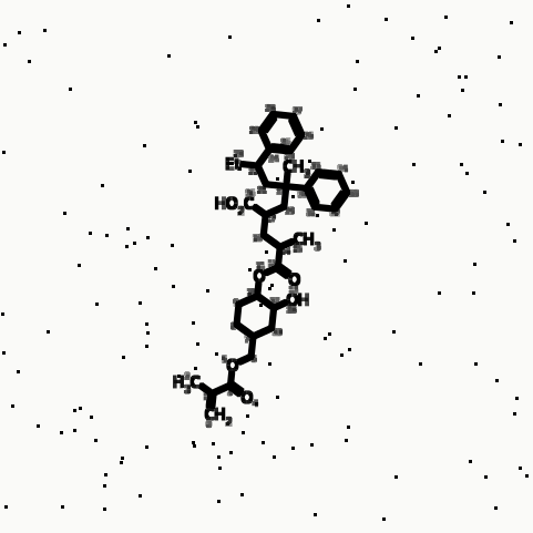 C=C(C)C(=O)OCC1CCC(OC(=O)C(C)CC(CC(C)(CC(CC)c2ccccc2)c2ccccc2)C(=O)O)C(O)C1